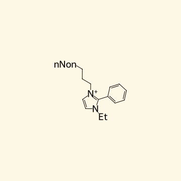 CCCCCCCCCCCC[n+]1ccn(CC)c1-c1ccccc1